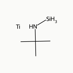 CC(C)(C)N[SiH3].[Ti]